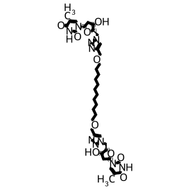 Cc1cn([C@H]2C[C@@H](O)[C@@H](Cn3cc(COCCCCCCCCCCCCOCc4cn(C[C@H]5O[C@@H](n6cc(C)c(=O)[nH]c6=O)C[C@H]5O)nn4)nn3)O2)c(=O)[nH]c1=O